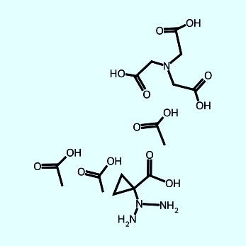 CC(=O)O.CC(=O)O.CC(=O)O.NN(N)C1(C(=O)O)CC1.O=C(O)CN(CC(=O)O)CC(=O)O